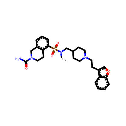 CN(CC1CCN(CCc2coc3ccccc23)CC1)S(=O)(=O)c1cccc2c1CCN(C(N)=O)C2